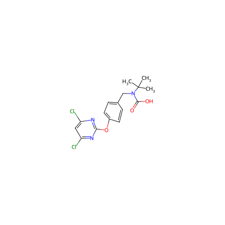 CC(C)(C)N(Cc1ccc(Oc2nc(Cl)cc(Cl)n2)cc1)C(=O)O